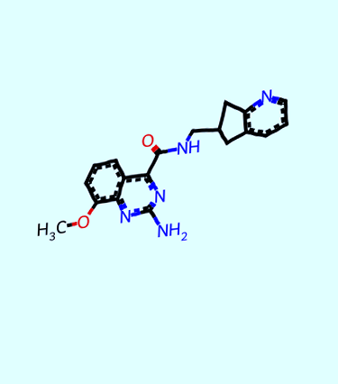 COc1cccc2c(C(=O)NCC3Cc4cccnc4C3)nc(N)nc12